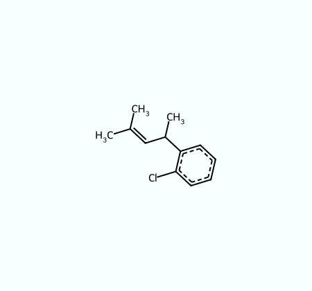 CC(C)=CC(C)c1ccccc1Cl